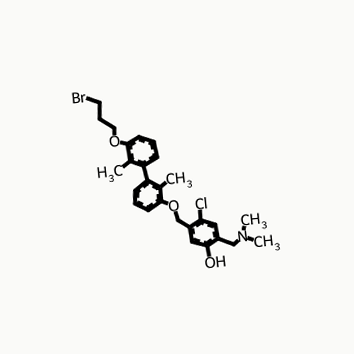 Cc1c(OCCCBr)cccc1-c1cccc(OCc2cc(O)c(CN(C)C)cc2Cl)c1C